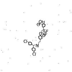 CN(CCCc1ccc(OC(CCc2cccc(C(=O)O)c2)C(=O)C(F)(F)F)cc1)CC(c1ccc(Cl)cc1)c1ccc(Cl)cc1